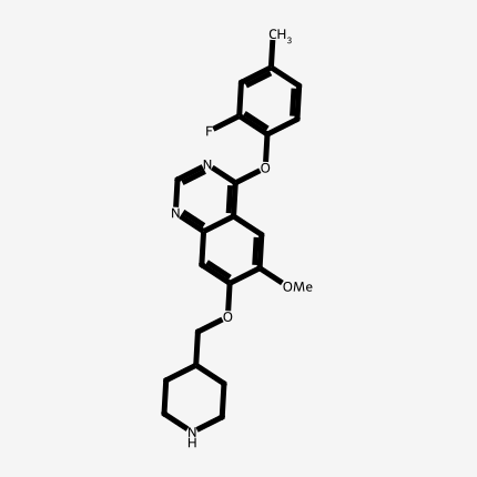 COc1cc2c(Oc3ccc(C)cc3F)ncnc2cc1OCC1CCNCC1